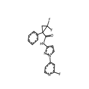 O=C(Nc1ccn(-c2ccnc(F)c2)n1)C1(c2ccccc2)CC1(F)F